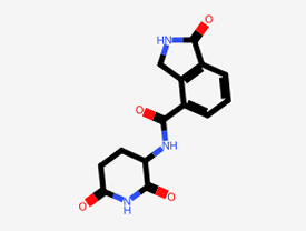 O=C1CCC(NC(=O)c2cccc3c2CNC3=O)C(=O)N1